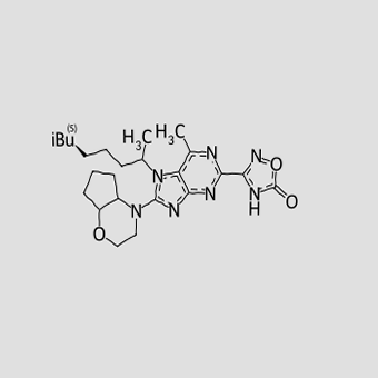 CC[C@H](C)CCCC(C)n1c(N2CCOC3CCCC32)nc2nc(-c3noc(=O)[nH]3)nc(C)c21